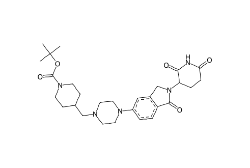 CC(C)(C)OC(=O)N1CCC(CN2CCN(c3ccc4c(c3)CN(C3CCC(=O)NC3=O)C4=O)CC2)CC1